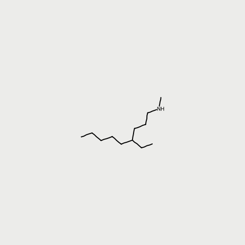 CCCCCC(CC)CCCNC